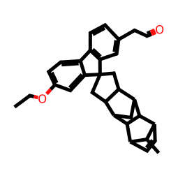 CCOc1ccc2c(c1)C1(CC3C(C1)C1CC3C3C4C=CC(C4C)C13)c1cc(CC=O)ccc1-2